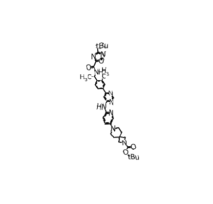 Cc1cc(-c2cc(Nc3ccc(N4CCC5(CC4)CN(C(=O)OC(C)(C)C)C5)cn3)ncn2)ccc1[C@@H](C)NC(=O)c1nc(C(C)(C)C)no1